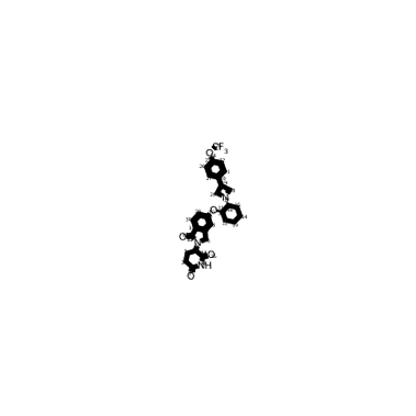 O=C1CCC(N2Cc3cc(O[C@@H]4CCCC[C@H]4N4CC(c5ccc(OC(F)(F)F)cc5)C4)ccc3C2=O)C(=O)N1